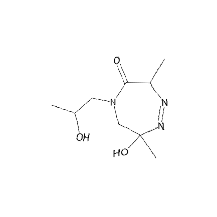 CC(O)CN1CC(C)(O)N=NC(C)C1=O